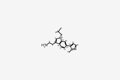 CC(C)Cn1cc(CCN)c2ccc(-c3ccnn3C)cc21